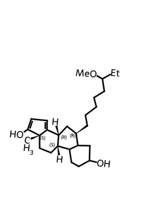 CCC(CCCCC[C@@H]1C[C@H]2C3=CC=C(O)[C@@]3(C)CC[C@H]2C2CCC(O)CC21)OC